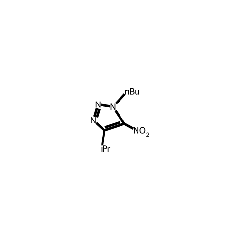 CCCCn1nnc(C(C)C)c1[N+](=O)[O-]